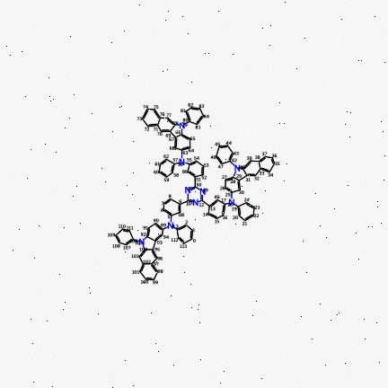 c1ccc(N(c2cccc(-c3nc(-c4cccc(N(c5ccccc5)c5ccc6c(c5)c5cc7ccccc7cc5n6-c5ccccc5)c4)nc(-c4cccc(N(c5ccccc5)c5ccc6c(c5)c5cc7ccccc7cc5n6-c5ccccc5)c4)n3)c2)c2ccc3c(c2)c2cc4ccccc4cc2n3-c2ccccc2)cc1